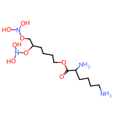 NCCCCC(N)C(=O)OCCCCC(CON(O)O)ON(O)O